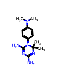 CN(C)c1ccc(N2C(N)=NC(N)=NC2(C)C)cc1